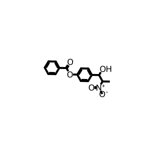 CC(C(O)c1ccc(OC(=O)c2ccccc2)cc1)[N+](=O)[O-]